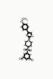 COc1ccc(-c2csc(N3CCC(S(=O)(=O)c4cc(Cl)cc(Cl)c4)CC3)n2)cc1